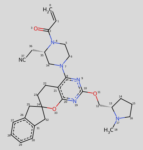 C=CC(=O)N1CCN(c2nc(OC[C@@H]3CCCN3C)nc3c2CCC2(Cc4ccccc4C2)O3)C[C@@H]1CC#N